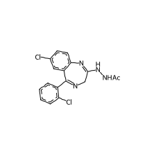 CC(=O)NNC1=Nc2ccc(Cl)cc2C(c2ccccc2Cl)=NC1